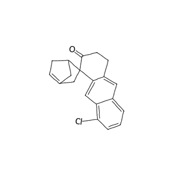 O=C1CCc2cc3cccc(Cl)c3cc2C12CC1=CCC2C1